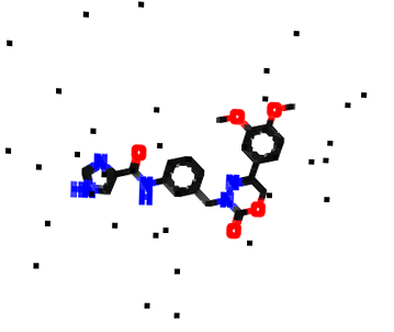 COc1ccc(C2=NN(Cc3cccc(NC(=O)c4c[nH]cn4)c3)C(=O)OC2)cc1OC